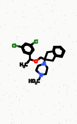 C[C@H](OCC1(N2CCN(C(=O)O)CC2)Cc2ccccc2C1)c1cc(Cl)cc(Cl)c1